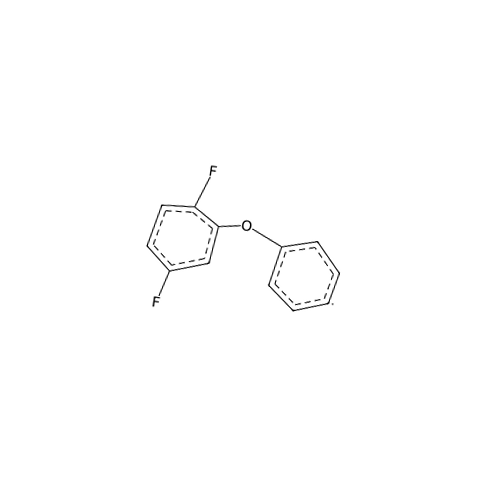 Fc1ccc(F)c(Oc2cc[c]cc2)c1